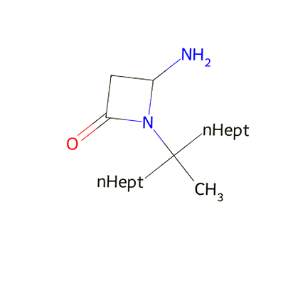 CCCCCCCC(C)(CCCCCCC)N1C(=O)CC1N